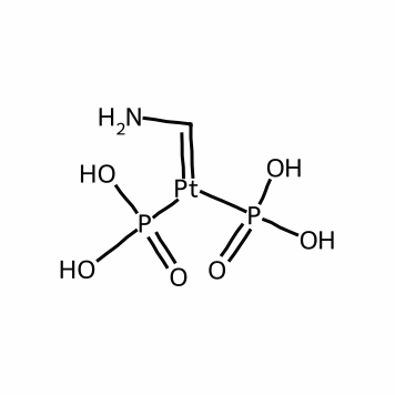 N[CH]=[Pt]([P](=O)(O)O)[P](=O)(O)O